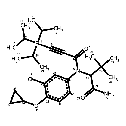 CC(C)[Si](C#CC(=O)N(c1ccc(OC2CC2)c(Cl)c1)C(C(N)=O)C(C)(C)C)(C(C)C)C(C)C